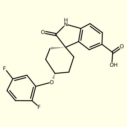 O=C(O)c1ccc2c(c1)[C@]1(CC[C@@H](Oc3cc(F)ccc3F)CC1)C(=O)N2